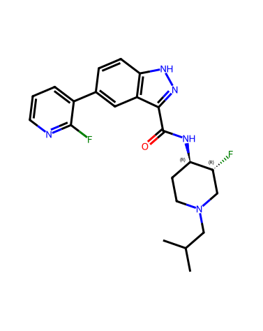 CC(C)CN1CC[C@@H](NC(=O)c2n[nH]c3ccc(-c4cccnc4F)cc23)[C@H](F)C1